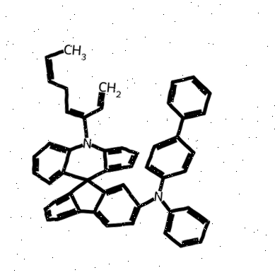 C=C/C(=C\C/C=C\C)N1c2ccccc2C2(c3ccccc3-c3ccc(N(c4ccccc4)c4ccc(-c5ccccc5)cc4)cc32)c2ccccc21